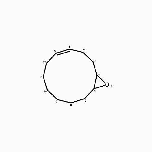 C1=CCCC2OC2CCCCCC1